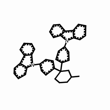 CC1CCCC(c2ccc(-n3c4ccccc4c4ccccc43)cc2)(c2ccc(-n3c4ccccc4c4ccccc43)cc2)C1